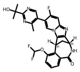 Cc1nc(C(C)(C)O)ncc1-c1cn2c3c(nc2cc1F)[C@H]1C[C@@H]3c2c(OC(F)F)cccc2C(=O)N1